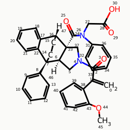 C=C(C(=O)N1C[C@H]2[C@@]3(c4ccccc4)CC[C@H](c4ccccc43)[C@@]2(C(=O)N(CC(=O)O)c2ccccc2)C1)c1ccccc1OC